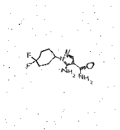 NC(=O)c1cnn(C2CCC(F)(F)CC2)c1N